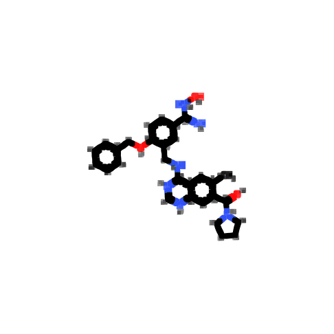 Cc1cc2c(NCc3cc(C(=N)NO)ccc3OCc3ccccc3)ncnc2cc1C(=O)N1CCCC1